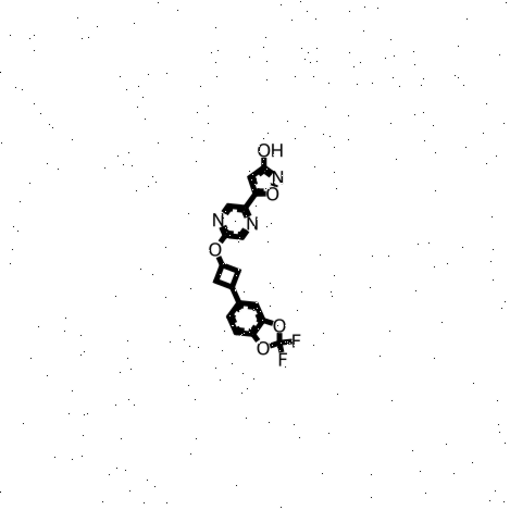 Oc1cc(-c2cnc(OC3CC(c4ccc5c(c4)OC(F)(F)O5)C3)cn2)on1